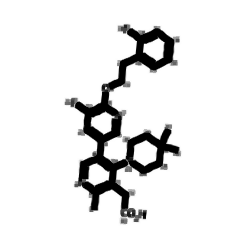 Cc1ncc(-c2cnc(OCCc3ccccc3F)c(F)c2)c(N2CCC(C)(C)CC2)c1CC(=O)O